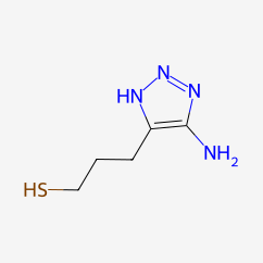 Nc1nn[nH]c1CCCS